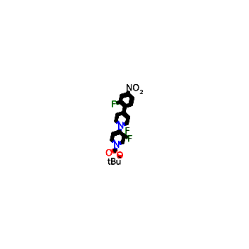 CC(C)(C)OC(=O)N1CC=C(N2CC=C(c3ccc([N+](=O)[O-])cc3F)CC2)C(F)(F)C1